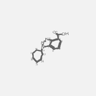 O=C(O)c1cccc2c1nnn2C1CCCCCC1